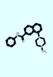 CN1CCN(c2cccc3ccc(C(=O)Nc4ccccc4)cc23)CC1